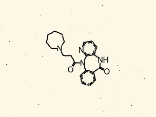 O=C1Nc2cccnc2N(C(=O)CCN2CCCCCC2)c2ccccc21